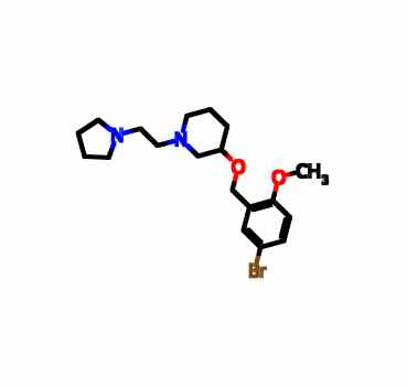 COc1ccc(Br)cc1COC1CCCN(CCN2CCCC2)C1